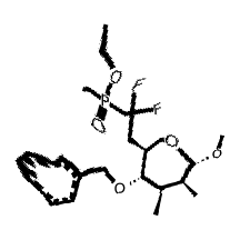 CCOP(C)(=O)C(F)(F)C[C@H]1O[C@H](OC)[C@@H](C)[C@@H](C)[C@@H]1OCc1ccccc1